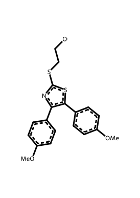 COc1ccc(-c2nc(SCC[O])sc2-c2ccc(OC)cc2)cc1